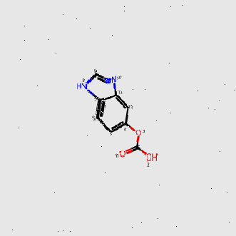 O=C(O)Oc1ccc2[nH]cnc2c1